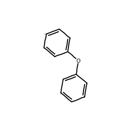 [c]1ccc(Oc2ccccc2)cc1